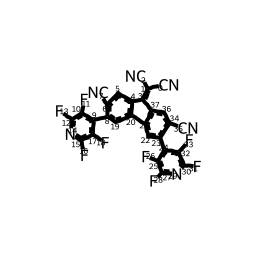 N#CC(C#N)=C1c2cc(C#N)c(-c3c(F)c(F)nc(F)c3F)cc2-c2cc(-c3c(F)c(F)nc(F)c3F)c(C#N)cc21